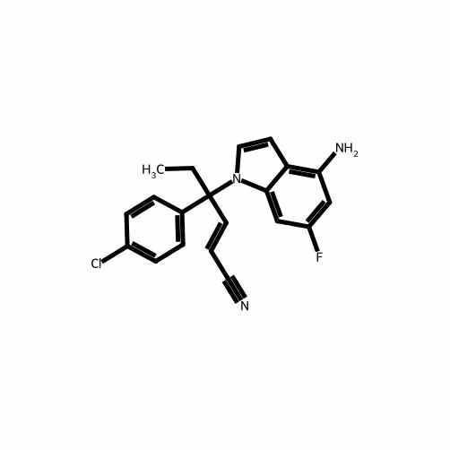 CCC(/C=C/C#N)(c1ccc(Cl)cc1)n1ccc2c(N)cc(F)cc21